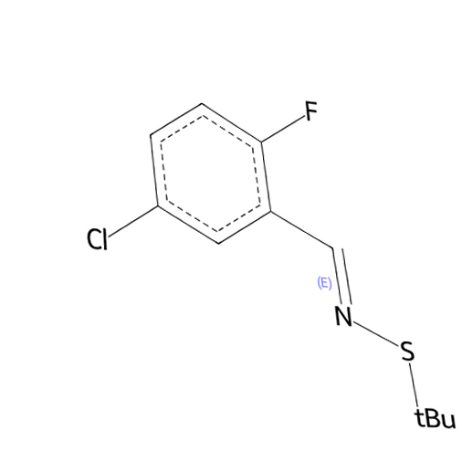 CC(C)(C)S/N=C/c1cc(Cl)ccc1F